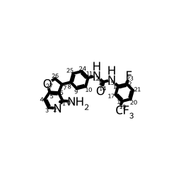 Nc1nccc2c1C(c1ccc(NC(=O)Nc3cc(C(F)(F)F)ccc3F)cc1)CO2